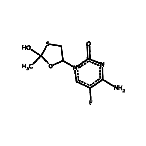 CC1(O)OC(n2cc(F)c(N)nc2=O)CS1